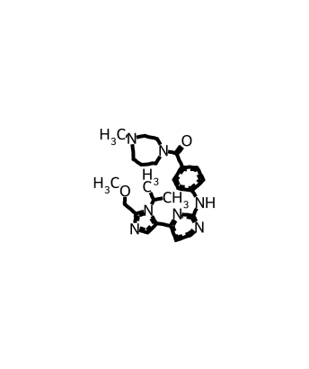 COCc1ncc(-c2ccnc(Nc3ccc(C(=O)N4CCCN(C)CC4)cc3)n2)n1C(C)C